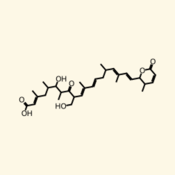 CC(/C=C/C1OC(=O)C=CC1C)=C\C(C)C/C=C/C(C)=C/C(CO)C(=O)C(C)C(O)C(C)C/C(C)=C/C(=O)O